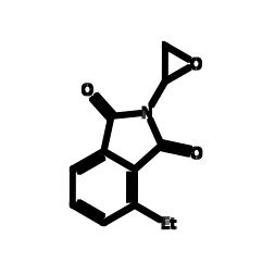 CCc1cccc2c1C(=O)N(C1CO1)C2=O